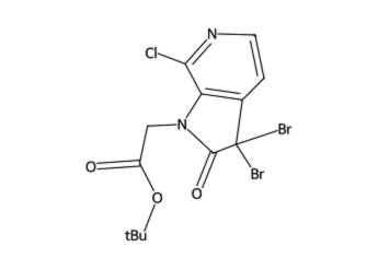 CC(C)(C)OC(=O)CN1C(=O)C(Br)(Br)c2ccnc(Cl)c21